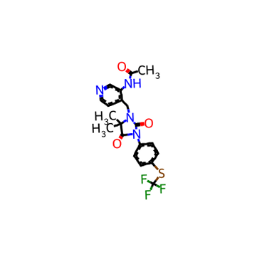 CC(=O)Nc1cnccc1CN1C(=O)N(c2ccc(SC(F)(F)F)cc2)C(=O)C1(C)C